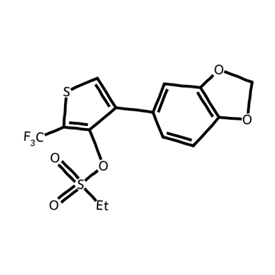 CCS(=O)(=O)Oc1c(-c2ccc3c(c2)OCO3)csc1C(F)(F)F